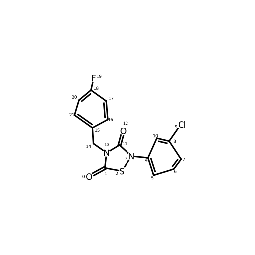 O=c1sn(-c2cccc(Cl)c2)c(=O)n1Cc1ccc(F)cc1